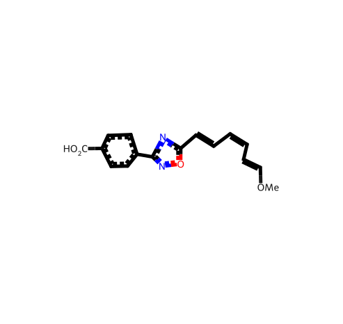 CO/C=C/C=C\C=C\c1nc(-c2ccc(C(=O)O)cc2)no1